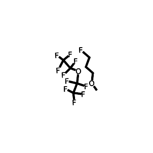 COCCCF.FC(F)(F)C(F)(F)OC(F)(F)C(F)(F)F